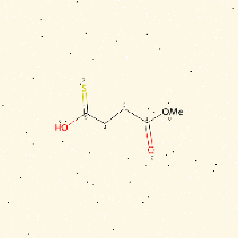 COC(=O)CCC(O)=S